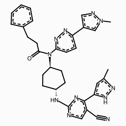 Cc1cc(-c2nc(N[C@H]3CC[C@H](N(C(=O)CCc4ccccc4)c4ccc(-c5cnn(C)c5)nn4)CC3)ncc2C#N)[nH]n1